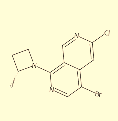 C[C@@H]1CCN1c1ncc(Br)c2cc(Cl)ncc12